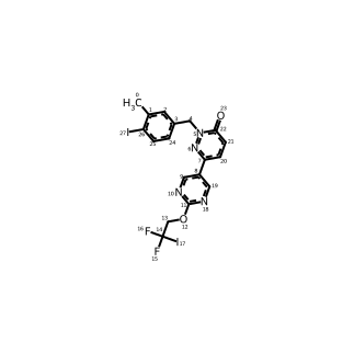 Cc1cc(Cn2nc(-c3cnc(OCC(F)(F)I)nc3)ccc2=O)ccc1I